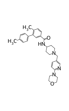 Cc1ccc(-c2cc(C(=O)NC3CCN(Cc4ccc(N5CCOCC5)nc4)CC3)ccc2C)cc1